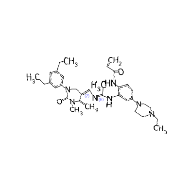 C=CC(=O)Nc1ccc(N2CCN(CC)CC2)cc1N/C(C)=N/C=C1/CN(c2cc(CC)cc(CC)c2)C(=O)N(C)C1=C